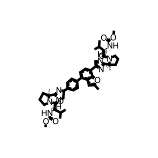 COC(=O)N[C@H](C(=O)N1CCC[C@@]1(C)C1=NC(c2ccc(-c3ccc(-c4c[nH]c([C@]5(C)CCCN5C(=O)[C@@H](NC(=O)OC)C(C)C)n4)c4oc(C)cc34)cc2)CN1)C(C)C